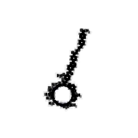 CO[C@H]1C[C@@H]2CC[C@@H](C)[C@@](O)(O2)C(=O)C(=O)N2CCCC[C@H]2C(=O)O[C@H]([C@H](N)C[C@@H]2CC[C@@H](OC(=O)N3CCc4nc(N5CCN(C(=O)CCOCCN6CCN(c7ncc(C(C)=O)cn7)CC6)CC5)ncc4C3)[C@H](OC)C2)CC(=O)[C@H](C)/C=C(\C)[C@@H](O)[C@@H](OC)C(=O)[C@H](C)C[C@H](C)/C=C/C=C/C=C/1C